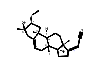 CO[C@H]1C[C@@]2(C)C(=CC[C@@H]3[C@@H]2CC[C@]2(C)/C(=C\C#N)CC[C@@H]32)C[C@]1(C)O